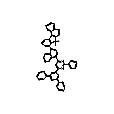 CC1(C)c2ccc3ccccc3c2-c2cccc(-c3ccc(-c4cc(-c5cc(-c6ccccc6)cc(-c6ccccc6)c5)nc(-c5ccccc5)n4)c4ccccc34)c21